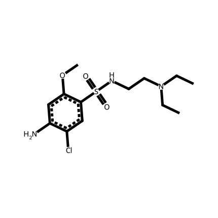 CCN(CC)CCNS(=O)(=O)c1cc(Cl)c(N)cc1OC